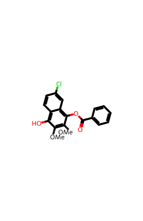 COc1c(OC)c(OC(=O)c2ccccc2)c2cc(Cl)ccc2c1O